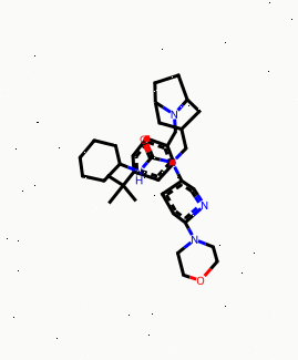 CC(C)(C)c1ccc(CN2C3CCC2CC(CN(C(=O)NC2CCCCC2)c2ccc(N4CCOCC4)nc2)C3)cc1